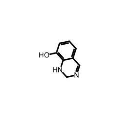 Oc1cccc2c1NCN=C2